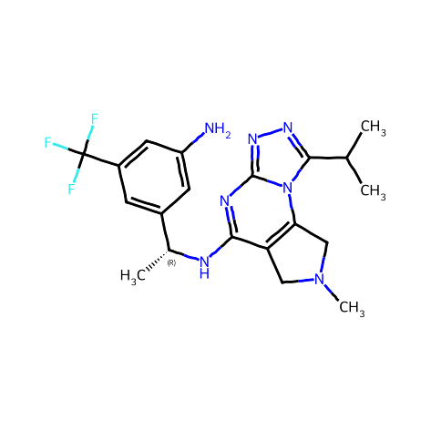 CC(C)c1nnc2nc(N[C@H](C)c3cc(N)cc(C(F)(F)F)c3)c3c(n12)CN(C)C3